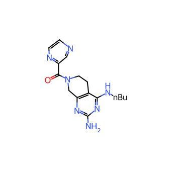 CCCCNc1nc(N)nc2c1CCN(C(=O)c1cnccn1)C2